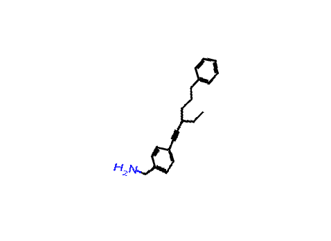 CCC(C#Cc1ccc(CN)cc1)CCCc1ccccc1